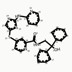 O=C(NCC(O)(c1ccccc1)c1ccccc1)c1cc(Sc2cnc(Nc3ccccn3)s2)ccn1